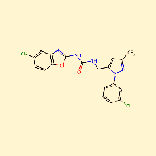 O=C(NCc1cc(C(F)(F)F)nn1-c1cccc(Cl)c1)Nc1nc2cc(Cl)ccc2o1